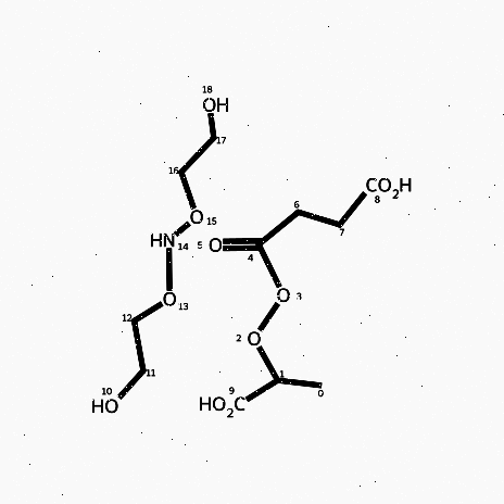 CC(OOC(=O)CCC(=O)O)C(=O)O.OCCONOCCO